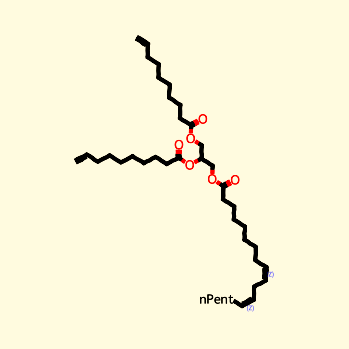 C=CCCCCCCCC(=O)OCC(COC(=O)CCCCCCC/C=C\C/C=C\CCCCC)OC(=O)CCCCCCCC=C